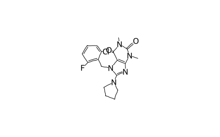 Cn1c(=O)c2c(nc(N3CCCC3)n2Cc2c(F)cccc2Cl)n(C)c1=O